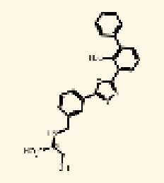 Cc1c(-c2ccccc2)cccc1-c1nnc(-c2cccc(CN[C@@H](CO)C(=O)O)c2)o1